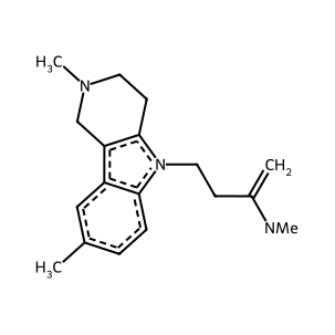 C=C(CCn1c2c(c3cc(C)ccc31)CN(C)CC2)NC